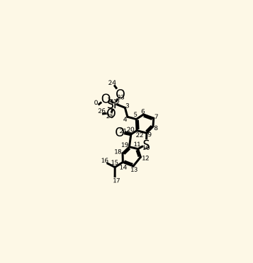 CO[Si](CCc1cccc2sc3ccc(C(C)C)cc3c(=O)c12)(OC)OC